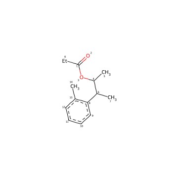 CCC(=O)OC(C)C(C)c1ccccc1C